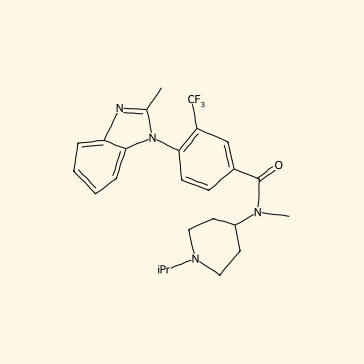 Cc1nc2ccccc2n1-c1ccc(C(=O)N(C)C2CCN(C(C)C)CC2)cc1C(F)(F)F